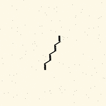 C=[C]C=CC=CC=C